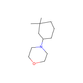 CC1(C)[CH]CCC(N2CCOCC2)C1